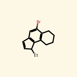 CCC1C=Cc2cc(Br)c3c(c21)CCCC3